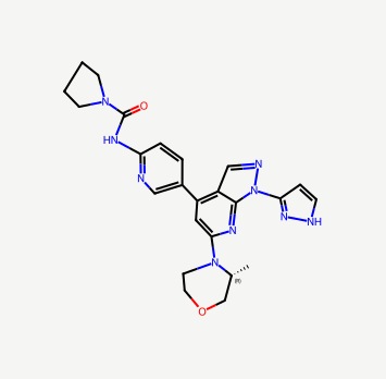 C[C@@H]1COCCN1c1cc(-c2ccc(NC(=O)N3CCCC3)nc2)c2cnn(-c3cc[nH]n3)c2n1